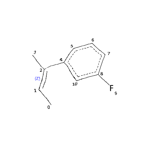 C/C=C(/C)c1cccc(F)c1